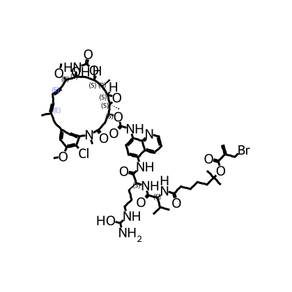 C=C(CBr)C(=O)OC(C)(C)CCCCC(=O)N[C@H](C(=O)N[C@@H](CCCNC(N)O)C(=O)Nc1ccc(NC(=O)O[C@H]2CC(=O)N(C)c3cc(cc(OC)c3Cl)C/C(C)=C/C=C/[C@@H](OC)[C@@]3(O)C[C@H](OC(=O)N3)[C@@H](C)[C@@H]3O[C@@]23C)c2ncccc12)C(C)C